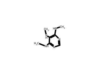 CNc1ncnc(NC)c1NC